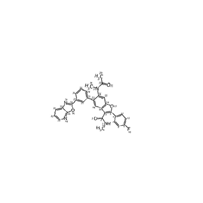 CNC(=O)c1c(-c2ccc(F)cc2)oc2cc(N(C)C(C)=O)c(-c3cccc(-c4nc5cccnc5o4)c3)cc12